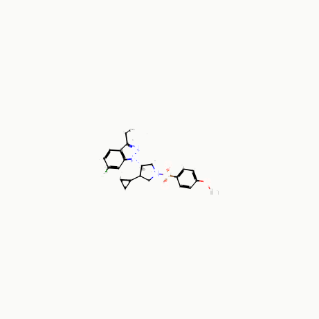 CC(C)Oc1ccc(S(=O)(=O)N2CC(C3CC3)[C@@H](n3nc(CC(=O)O)c4ccc(F)cc43)C2)cc1